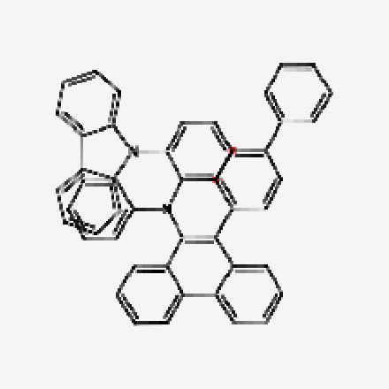 c1ccc(-c2ccc(-c3c(N(c4ccccc4)c4ccccc4-n4c5ccccc5c5ccccc54)c4ccccc4c4ccccc34)cc2)cc1